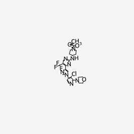 CS(=O)(=O)N1CCC(Nc2ncc(C(F)(F)F)c(-c3cn(-c4ccnc(N5CCOCC5)c4Cl)cn3)n2)CC1